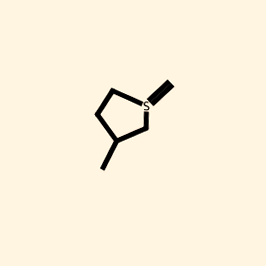 C=S1CCC(C)C1